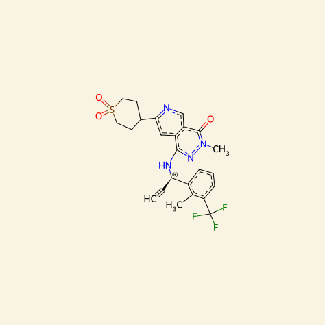 C#C[C@@H](Nc1nn(C)c(=O)c2cnc(C3CCS(=O)(=O)CC3)cc12)c1cccc(C(F)(F)F)c1C